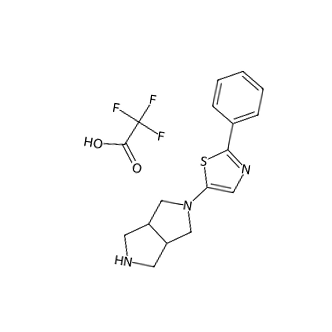 O=C(O)C(F)(F)F.c1ccc(-c2ncc(N3CC4CNCC4C3)s2)cc1